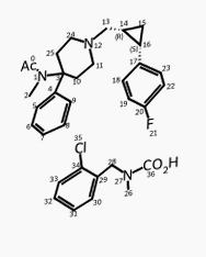 CC(=O)N(C)C1(c2ccccc2)CCN(C[C@@H]2C[C@@H]2c2ccc(F)cc2)CC1.CN(Cc1ccccc1Cl)C(=O)O